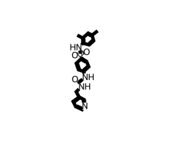 Cc1ccc(NS(=O)(=O)c2ccc(NC(=O)NCc3cccnc3)cc2)c(C)c1